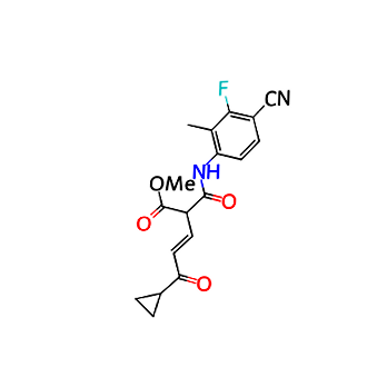 COC(=O)C(/C=C/C(=O)C1CC1)C(=O)Nc1ccc(C#N)c(F)c1C